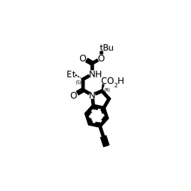 C#Cc1ccc2c(c1)C[C@H](C(=O)O)N2C(=O)[C@H](CC)NC(=O)OC(C)(C)C